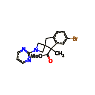 COC(=O)C1(C)c2cc(Br)ccc2CC12CN(c1ncccn1)C2